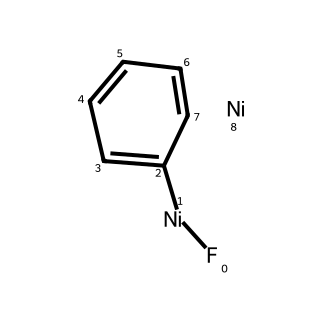 [F][Ni][c]1ccccc1.[Ni]